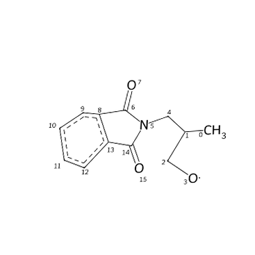 CC(C[O])CN1C(=O)c2ccccc2C1=O